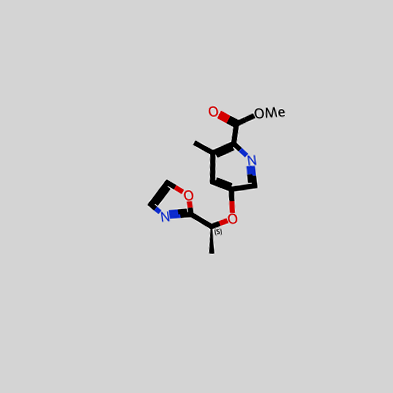 COC(=O)c1ncc(O[C@@H](C)c2ncco2)cc1C